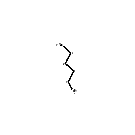 [CH2]CCCCCCCCC[CH]C